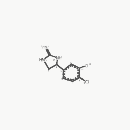 N=C1NCC(c2ccc(Cl)c(Cl)c2)N1